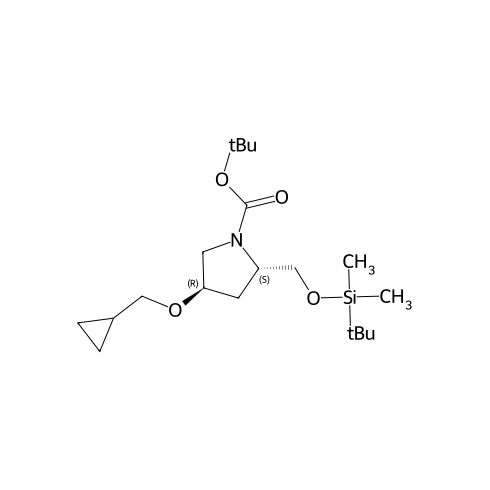 CC(C)(C)OC(=O)N1C[C@H](OCC2CC2)C[C@H]1CO[Si](C)(C)C(C)(C)C